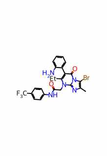 CCc1c(-c2ccccc2N)c(=O)n2c(Br)c(C)nc2n1CC(=O)Nc1ccc(C(F)(F)F)cc1